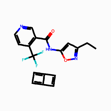 CCc1cc(NC(=O)c2cnccc2C(F)(F)F)on1.c1cc2ccc1-2